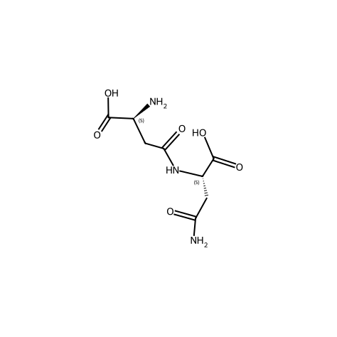 NC(=O)C[C@H](NC(=O)C[C@H](N)C(=O)O)C(=O)O